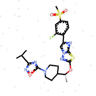 CC(C)c1noc(N2CCC([C@@H](C)Oc3nn4cc(-c5ccc(S(C)(=O)=O)cc5F)nc4s3)CC2)n1